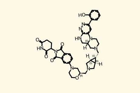 O=C1CCC(N2C(=O)c3ccc(N4CCO[C@H](CN5C[C@@H]6[C@H](C5)[C@H]6CN5CCN6c7cc(-c8ccccc8O)nnc7NC[C@H]6C5)C4)cc3C2=O)C(=O)N1